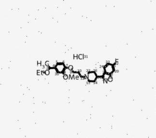 CCOC(C)c1ccc(OCCCN2CCC(c3noc4cc(F)ccc34)CC2)c(OC)c1.Cl